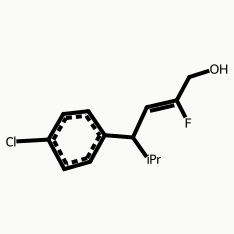 CC(C)C(C=C(F)CO)c1ccc(Cl)cc1